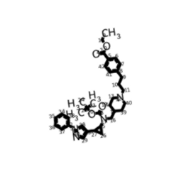 CCOC(=O)c1ccc(CCCN2CCC(CN(C(=O)OC(C)(C)C)C3CC3c3cnn(-c4ccccc4)c3)CC2)cc1